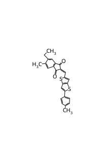 CCc1cc2c(cc1C)C(=O)/C(=C\c1cc3sc(-c4ccc(C)cc4)cc3s1)C2=O